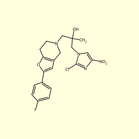 CC(O)(CN1CCc2oc(-c3ccc(F)cc3)cc2C1)Cn1cc([N+](=O)[O-])nc1Cl